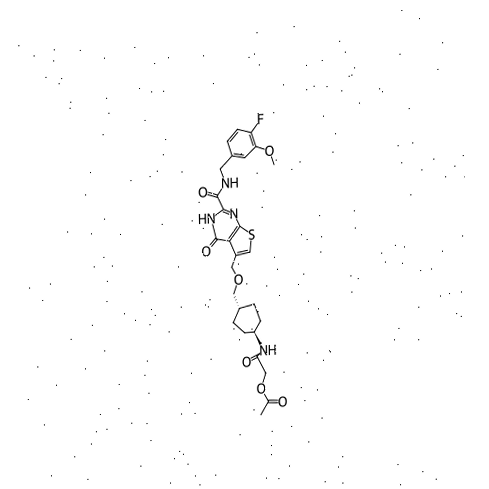 COc1cc(CNC(=O)c2nc3scc(COC[C@H]4CC[C@H](NC(=O)COC(C)=O)CC4)c3c(=O)[nH]2)ccc1F